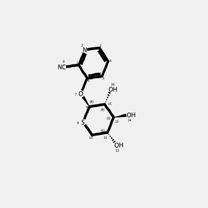 N#Cc1ncccc1O[C@@H]1SC[C@@H](O)[C@H](O)[C@H]1O